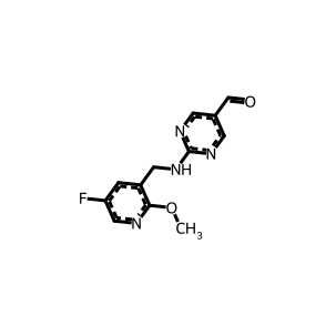 COc1ncc(F)cc1CNc1ncc(C=O)cn1